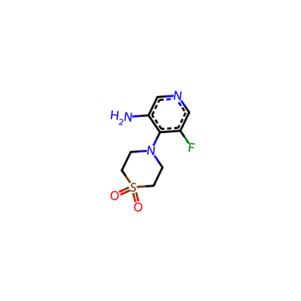 Nc1cncc(F)c1N1CCS(=O)(=O)CC1